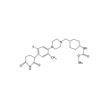 Cc1cc(C2CCC(=O)NC2=O)c(F)cc1N1CCN(CC2CCC(NC(=O)OC(C)(C)C)CC2)CC1